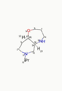 CC(C)N1CC[C@H]2OCCCN[C@H]2C1